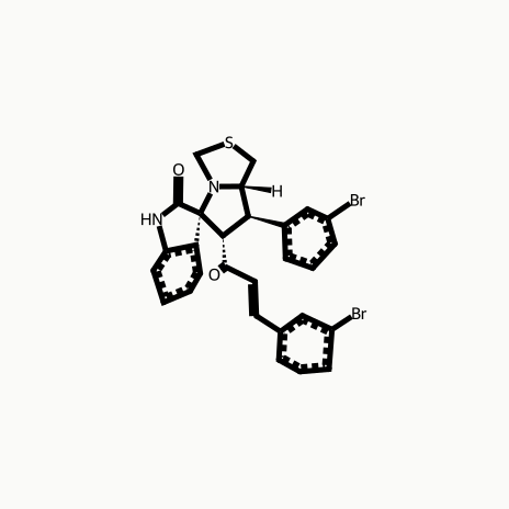 O=C(/C=C/c1cccc(Br)c1)[C@H]1[C@H](c2cccc(Br)c2)[C@H]2CSCN2[C@]12C(=O)Nc1ccccc12